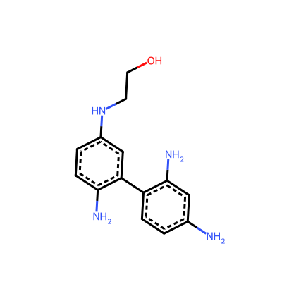 Nc1ccc(-c2cc(NCCO)ccc2N)c(N)c1